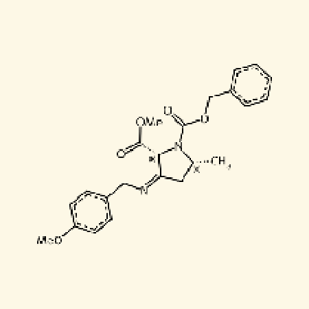 COC(=O)[C@H]1C(=NCc2ccc(OC)cc2)C[C@@H](C)N1C(=O)OCc1ccccc1